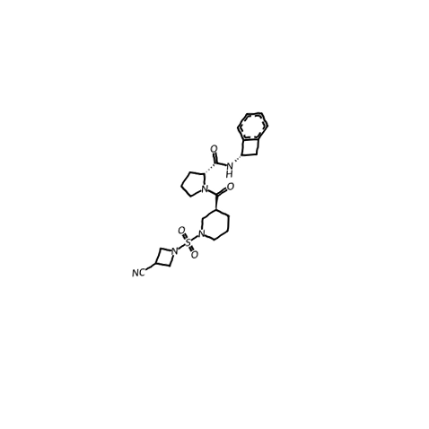 N#CC1CN(S(=O)(=O)N2CCC[C@H](C(=O)N3CCC[C@@H]3C(=O)N[C@H]3Cc4ccccc43)C2)C1